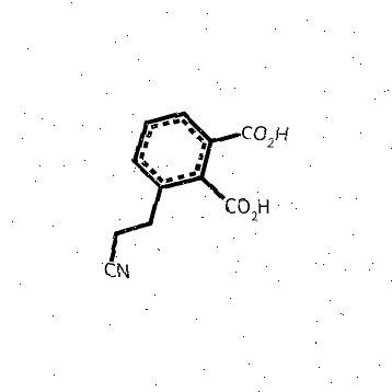 N#CCCc1cccc(C(=O)O)c1C(=O)O